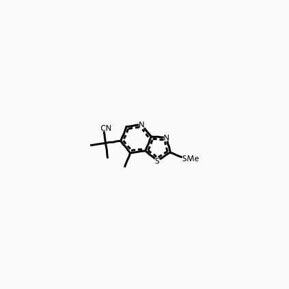 CSc1nc2ncc(C(C)(C)C#N)c(C)c2s1